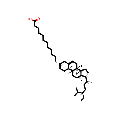 CC[C@H](CC[C@@H](C)[C@H]1CC[C@H]2[C@@H]3CC=C4C[C@@H](CCCCCCCCCCCC(=O)O)CC[C@]4(C)[C@H]3CC[C@]12C)C(C)C